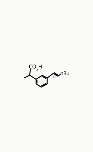 CCCC/C=C/c1cccc(C(C)C(=O)O)c1